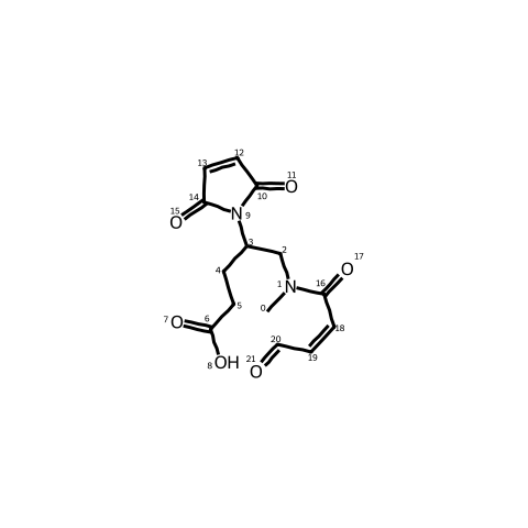 CN(CC(CCC(=O)O)N1C(=O)C=CC1=O)C(=O)/C=C\C=O